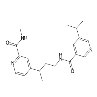 CNC(=O)c1cc(C(C)CCNC(=O)c2cncc(C(C)C)c2)ccn1